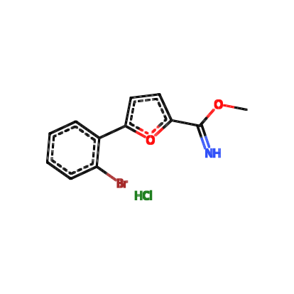 COC(=N)c1ccc(-c2ccccc2Br)o1.Cl